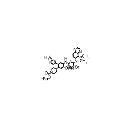 COc1cc(C2CCN(C(=O)OC(C)(C)C)CC2)c(-c2cnn(C)c2)cc1Nc1ncc(Br)c(Nc2ccc3nccnc3c2P(C)C)n1